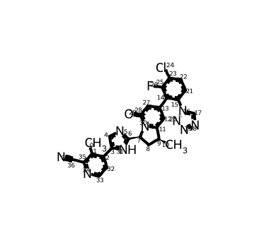 Cc1c(-c2cnc([C@@H]3C[C@H](C)c4cc(-c5c(-n6cnnn6)ccc(Cl)c5F)cc(=O)n43)[nH]2)ccnc1C#N